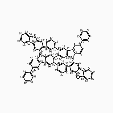 C1=CC2C(C=C1c1ccccc1)c1cc(-c3ccccc3)c(-c3cc4c(cc3-c3ccccc3)c3cc(-c5ccccc5)ccc3n4-c3ccc4sc5ccccc5c4c3)cc1N2c1ccc2oc3ccccc3c2c1